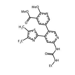 CCNC(=O)Nc1cc(-c2nc(C(F)(F)F)c(C)s2)c(-c2cnc(OC)c(C(=O)OC)c2)cn1